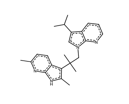 Cc1ccc2c(C(C)(C)Cn3cc(C(C)C)c4cccnc43)c(C)[nH]c2n1